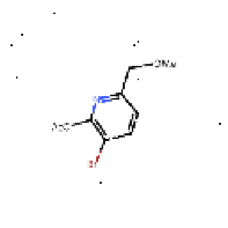 COCc1ccc(Br)c(OC(C)=O)n1